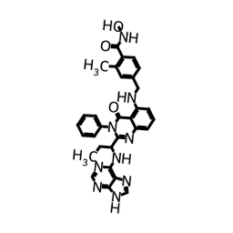 CCC(Nc1ncnc2[nH]cnc12)c1nc2cccc(NCc3ccc(C(=O)NO)c(C)c3)c2c(=O)n1-c1ccccc1